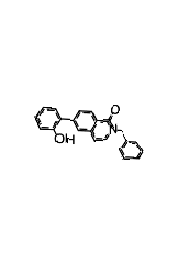 O=c1c2ccc(-c3ccccc3O)cc2ccn1Cc1ccccc1